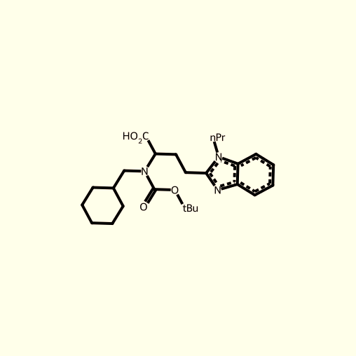 CCCn1c(CCC(C(=O)O)N(CC2CCCCC2)C(=O)OC(C)(C)C)nc2ccccc21